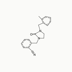 Cc1ccccc1CN1CCN(Cc2ccccc2C#N)C1=O